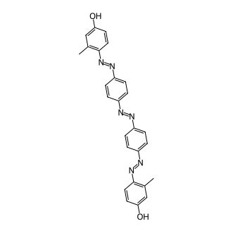 Cc1cc(O)ccc1N=Nc1ccc(/N=N/c2ccc(N=Nc3ccc(O)cc3C)cc2)cc1